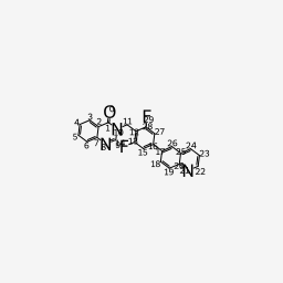 O=c1c2ccccc2ncn1Cc1c(F)cc(-c2ccc3ncccc3c2)cc1F